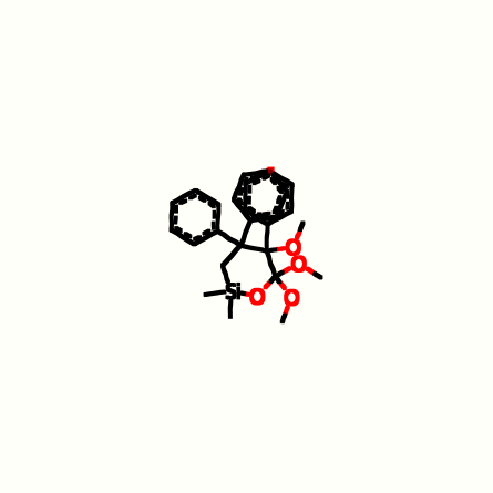 COC1(OC)O[Si](C)(C)CC(c2ccccc2)(c2ccccc2)C1(OC)c1ccccc1